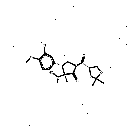 COc1ccc([C@@H]2CN(C(=O)[C@@H]3COC(C)(C)O3)C(=O)[C@]2(C)[C@@H](C)O)cc1O